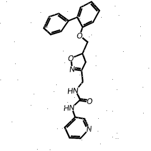 O=C(NCC1=NOC(COc2ccccc2-c2ccccc2)C1)Nc1cccnc1